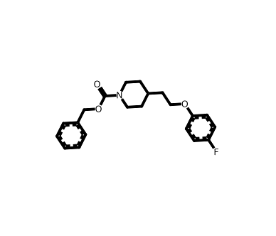 O=C(OCc1ccccc1)N1CCC(CCOc2ccc(F)cc2)CC1